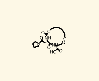 O=C1CCCCCCCCOC[C@@H](C(=O)O)NC(=O)[C@H](CC(=O)N2CCCC2)N1